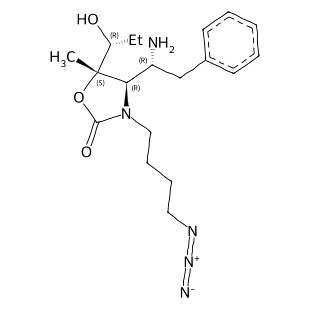 CC[C@@H](O)[C@@]1(C)OC(=O)N(CCCCN=[N+]=[N-])[C@@H]1[C@H](N)Cc1ccccc1